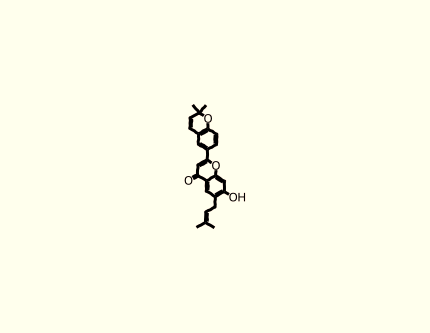 CC(C)=CCc1cc2c(=O)cc(-c3ccc4c(c3)C=CC(C)(C)O4)oc2cc1O